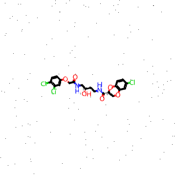 O=C(COc1ccc(Cl)c(Cl)c1)NC[C@@H](O)CCNC(=O)[C@H]1COc2cc(Cl)ccc2O1